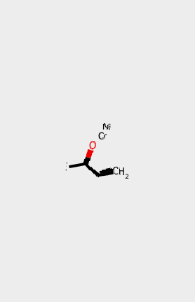 [C]C(=O)C=C.[Cr].[Ni]